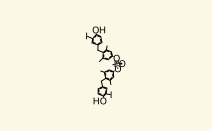 Cc1cc(OP(C)(=O)Oc2cc(C)c(Cc3ccc(O)c(I)c3)c(C)c2)cc(C)c1Cc1ccc(O)c(I)c1